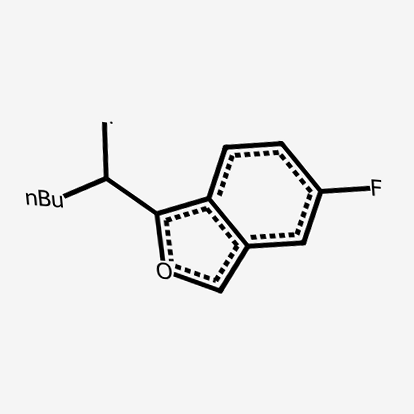 [CH2]C(CCCC)c1occ2cc(F)ccc12